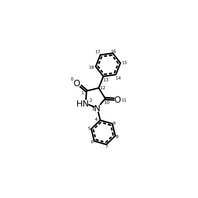 O=C1NN(c2ccccc2)C(=O)C1c1ccccc1